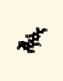 COC(=O)c1ccc(O[C@@H](C)C(=O)N2CCN(C(=O)OC(C)(C)C)C[C@H]2C)c(OC)c1